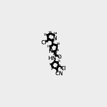 N#Cc1ccc(NC(=O)c2ccc(-c3ncccc3Cl)cn2)cc1Cl